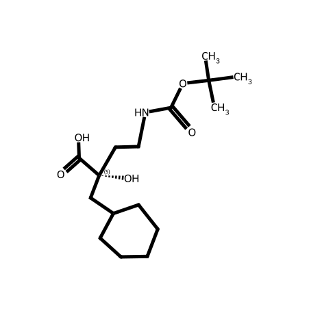 CC(C)(C)OC(=O)NCC[C@@](O)(CC1CCCCC1)C(=O)O